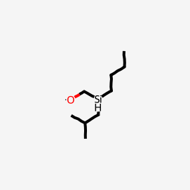 CCCC[SiH](C[O])CC(C)C